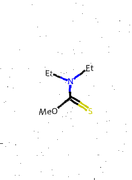 CCN(CC)C(=S)OC